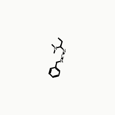 CCC(N=C=NCc1ccccc1)N(C)C